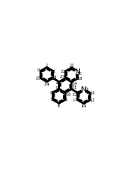 c1ccc(-c2c3ccccc3c(-c3ccccn3)c3cnccc23)cc1